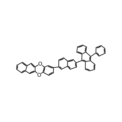 c1ccc(-c2c3ccccc3c(-c3ccc4cc(-c5ccc6c(c5)Oc5cc7ccccc7cc5O6)ccc4c3)c3ccccc23)cc1